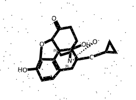 O=C1CCC2(O)C3Cc4ccc(O)c5c4[C@]2(CC[N@@+]3([O-])CC2CC2)C1O5